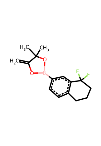 C=C1OB(c2ccc3c(c2)C(F)(F)CCC3)OC1(C)C